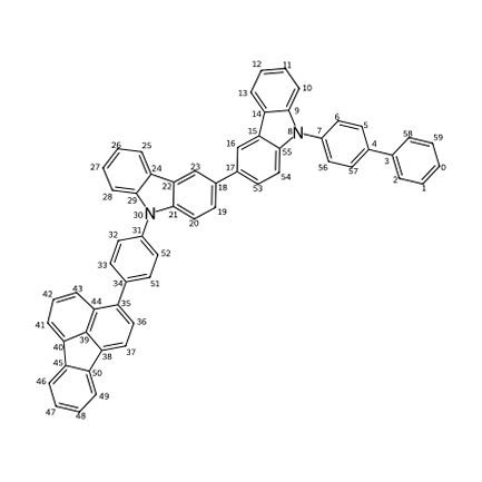 c1ccc(-c2ccc(-n3c4ccccc4c4cc(-c5ccc6c(c5)c5ccccc5n6-c5ccc(-c6ccc7c8c(cccc68)-c6ccccc6-7)cc5)ccc43)cc2)cc1